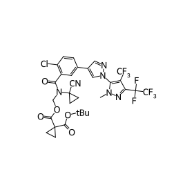 Cn1nc(C(F)(F)C(F)(F)F)c(C(F)(F)F)c1-n1cc(-c2ccc(Cl)c(C(=O)N(COC(=O)C3(C(=O)OC(C)(C)C)CC3)C3(C#N)CC3)c2)cn1